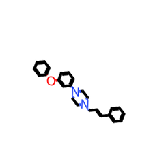 C(=Cc1ccccc1)CN1CCN(c2cccc(Oc3ccccc3)c2)CC1